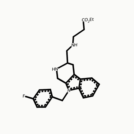 CCOC(=O)CCNCC1Cc2c(n(Cc3ccc(F)cc3)c3ccccc23)CN1